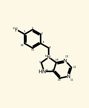 Fc1ccc(CN2CNc3cncnc32)cc1